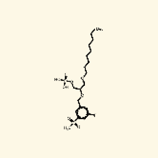 CCCCCCCCCCCCCCCCCCOCC(COP(=O)(O)O)OCc1cc(F)cc(S(C)(=O)=O)c1